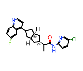 CC(C(=O)Nc1ccc(Cl)cn1)[C@H]1C[C@H]2CC(c3ccnc4ccc(F)cc34)C[C@H]2C1